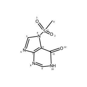 CS(=O)(=O)n1cnc2nc[nH]c(=O)c21